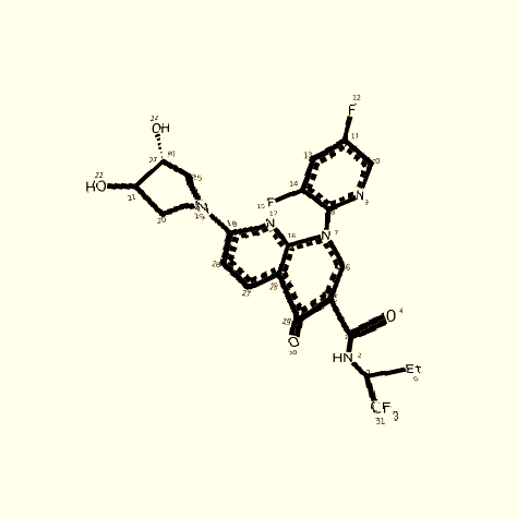 CCC(NC(=O)c1cn(-c2ncc(F)cc2F)c2nc(N3CC(O)[C@H](O)C3)ccc2c1=O)C(F)(F)F